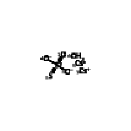 O.O=S([O-])([O-])=S.[Cs+].[Cs+]